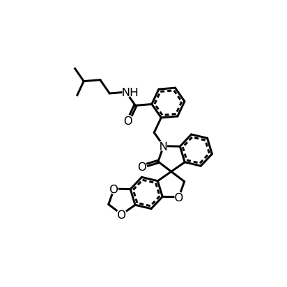 CC(C)CCNC(=O)c1ccccc1CN1C(=O)C2(COc3cc4c(cc32)OCO4)c2ccccc21